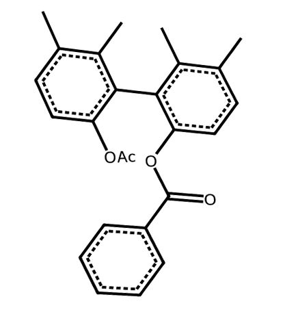 CC(=O)Oc1ccc(C)c(C)c1-c1c(OC(=O)c2ccccc2)ccc(C)c1C